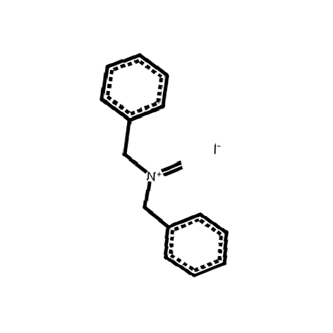 C=[N+](Cc1ccccc1)Cc1ccccc1.[I-]